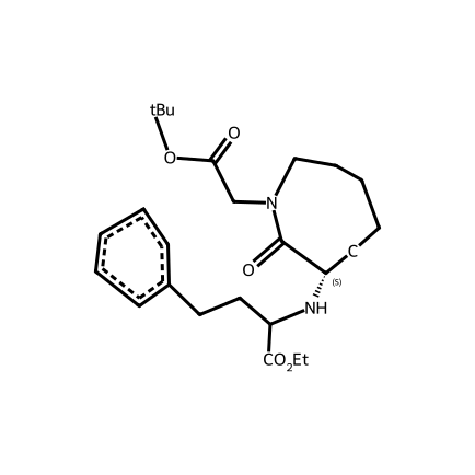 CCOC(=O)C(CCc1ccccc1)N[C@H]1CCCCCN(CC(=O)OC(C)(C)C)C1=O